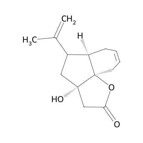 C=C(C)C1C[C@]2(O)CC(=O)O[C@@]23CC=CC[C@H]13